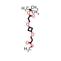 COC(=O)CCOC1CC(OCCC(=O)OC(C)(C)C)C1